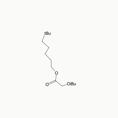 CC(C)COCC(=O)OCCCCCC(C)(C)C